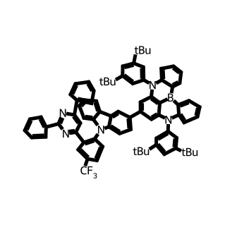 CC(C)(C)c1cc(N2c3ccccc3B3c4ccccc4N(c4cc(C(C)(C)C)cc(C(C)(C)C)c4)c4cc(-c5ccc6c(c5)c5ccccc5n6-c5ccc(C(F)(F)F)cc5-c5cc(-c6ccccc6)nc(-c6ccccc6)n5)cc2c43)cc(C(C)(C)C)c1